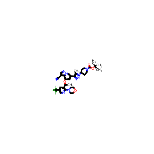 Cc1c(-c2cc(OC(C)c3cc(C(F)(F)F)cnc3N3CCOCC3)c3c(C#N)cnn3c2)nnn1C1CCN(C(=O)OC(C)(C)C)CC1